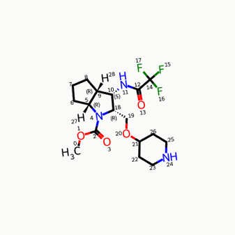 COC(=O)N1[C@@H]2CCC[C@@H]2[C@H](NC(=O)C(F)(F)F)[C@@H]1COC1CCNCC1